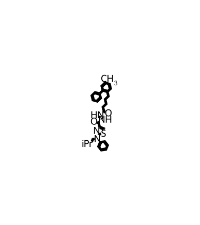 Cc1ccc(CCCCC(=O)NNC(=O)c2csc(N(CC(C)C)c3ccccc3)n2)c(-c2ccccc2)c1